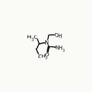 CCC(C)N(CO)C(N)=O